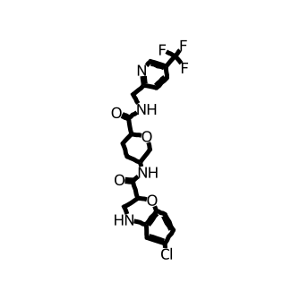 O=C(NCc1ccc(C(F)(F)F)cn1)C1CCC(NC(=O)C2CNc3cc(Cl)ccc3O2)CO1